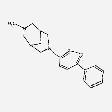 CN1CC2CC(C1)CN(c1ccc(-c3ccccc3)nn1)C2